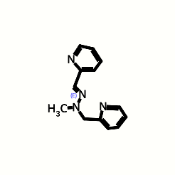 CN(Cc1ccccn1)/N=C/c1ccccn1